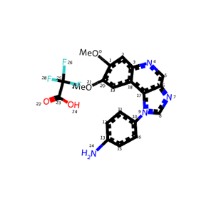 COc1cc2ncc3ncn(-c4ccc(N)cc4)c3c2cc1OC.O=C(O)C(F)(F)F